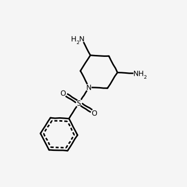 NC1CC(N)CN(S(=O)(=O)c2ccccc2)C1